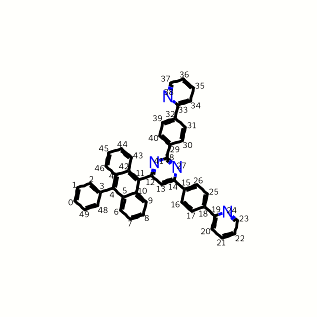 c1ccc(-c2c3ccccc3c(-c3cc(-c4ccc(-c5ccccn5)cc4)nc(-c4ccc(-c5ccccn5)cc4)n3)c3ccccc23)cc1